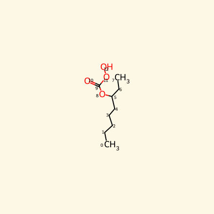 CCCCCC(CC)OC(=O)OO